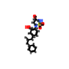 CC(Cc1ccccc1)Cc1ccc(N2CC(=O)NS2(=O)=O)c(O)c1